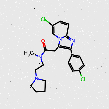 CN(CCN1CCCC1)C(=O)Cc1c(-c2ccc(Cl)cc2)nc2ccc(Cl)cn12